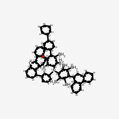 Bc1c(B)c(N(c2cccc(-c3cccc4oc5c6ccccc6ccc5c34)c2)c2c(B)c(B)c(-c3cc4ccccc4c4ccccc34)c(B)c2B)c(B)c(B)c1-c1ccc(-c2ccccc2)cc1